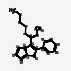 CCCCCC(CC)c1c(-c2cc[c]cc2)sc2nccn12